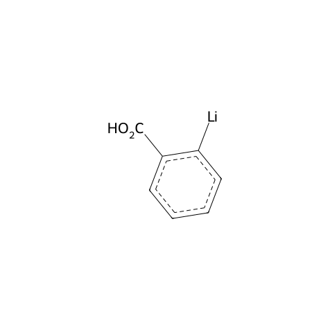 [Li][c]1ccccc1C(=O)O